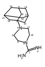 N=C(N)N1CCN(C23CC4CC(CC(C4)C2)C3)CC1